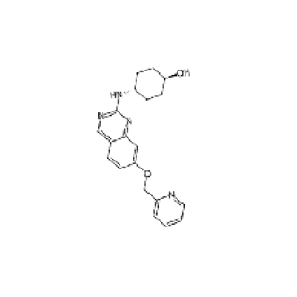 O[C@H]1CC[C@H](Nc2ncc3ccc(OCc4ccccn4)cc3n2)CC1